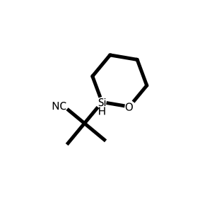 CC(C)(C#N)[SiH]1CCCCO1